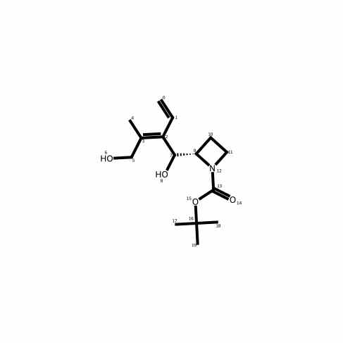 C=C/C(=C(\C)CO)C(O)[C@@H]1CCN1C(=O)OC(C)(C)C